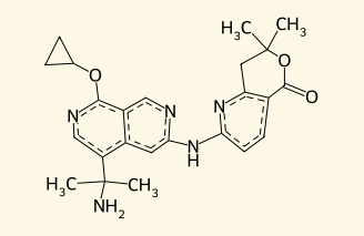 CC1(C)Cc2nc(Nc3cc4c(C(C)(C)N)cnc(OC5CC5)c4cn3)ccc2C(=O)O1